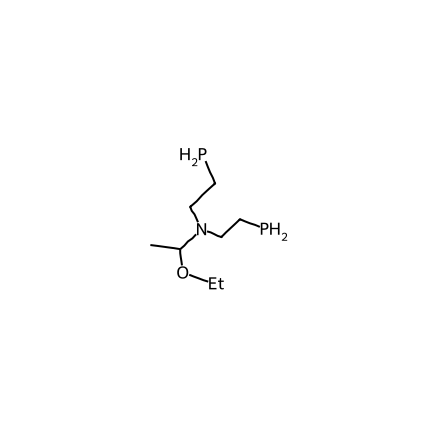 CCOC(C)N(CCP)CCP